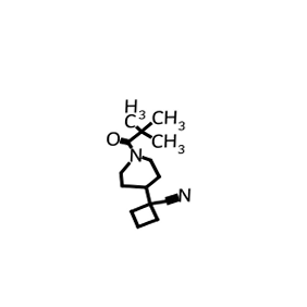 CC(C)(C)C(=O)N1CCC(C2(C#N)CCC2)CC1